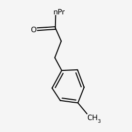 CCCC(=O)CCc1ccc(C)cc1